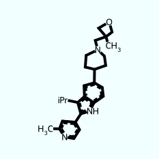 Cc1cc(-c2[nH]c3ccc(C4CCN(CC5(C)COC5)CC4)cc3c2C(C)C)ccn1